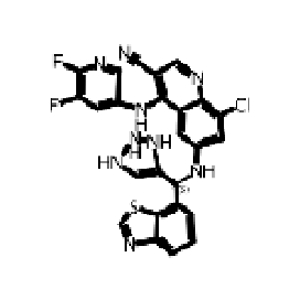 N#Cc1cnc2c(Cl)cc(N[C@H](C3=CNNN3)c3cccc4ncsc34)cc2c1Nc1cnc(F)c(F)c1